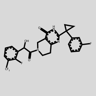 O=C(C(O)c1cccc(C(F)(F)F)c1F)N1CCc2nc(C3(c4cccc(F)c4)CC3)[nH]c(=O)c2C1